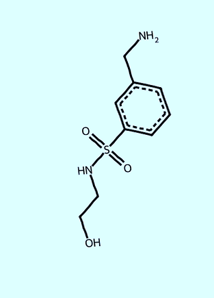 NCc1cccc(S(=O)(=O)NCCO)c1